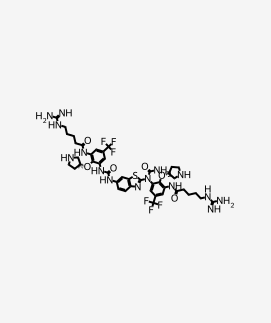 N=C(N)NCCCCC(=O)Nc1cc(C(F)(F)F)cc(NC(=O)Nc2ccc3nc(N(C(N)=O)c4cc(C(F)(F)F)cc(NC(=O)CCCCNC(=N)N)c4O[C@@H]4CCNC4)sc3c2)c1O[C@@H]1CCNC1